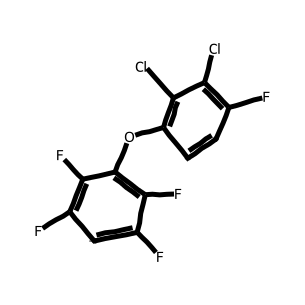 Fc1[c]c(F)c(F)c(Oc2ccc(F)c(Cl)c2Cl)c1F